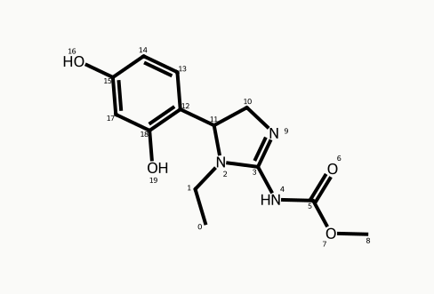 CCN1C(NC(=O)OC)=NCC1c1ccc(O)cc1O